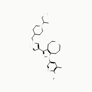 COc1ncc(-n2nc(-c3cnn(CC4CCN(C(C)CO)CC4)c3)c3c2CCCOCC3)cc1C